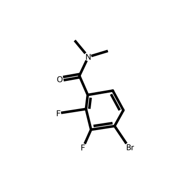 CN(C)C(=O)c1ccc(Br)c(F)c1F